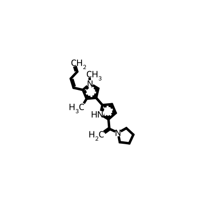 C=C/C=C\c1c(C)c(-c2ccc(C(=C)N3CCCC3)[nH]2)cn1C